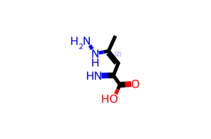 C/C(=C/C(=N)C(=O)O)NN